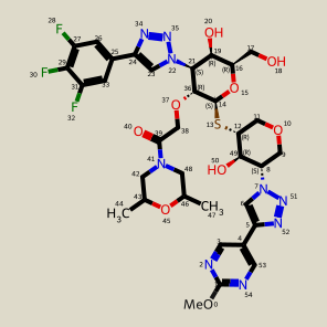 COc1ncc(-c2cn([C@H]3COC[C@@H](S[C@@H]4O[C@H](CO)[C@H](O)[C@H](n5cc(-c6cc(F)c(F)c(F)c6)nn5)[C@H]4OCC(=O)N4CC(C)OC(C)C4)[C@@H]3O)nn2)cn1